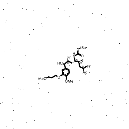 COCCCOc1cc(C(O)[C@@H](C[C@H](NC(=O)OC(C)(C)C)[C@@H](C)C[C@H](C(C)=O)C(C)C)C(C)C)ccc1OC